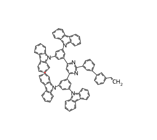 C=Cc1cccc(-c2cccc(-c3nc(-c4cc(-n5c6ccccc6c6ccccc65)cc(-n5c6ccccc6c6ccccc65)c4)cc(-c4cc(-n5c6ccccc6c6ccccc65)cc(-n5c6ccccc6c6ccccc65)c4)n3)c2)c1